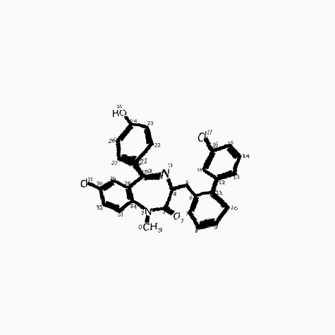 CN1C(=O)C(Cc2ccccc2-c2cccc(Cl)c2)N=C(c2ccc(O)cc2)c2cc(Cl)ccc21